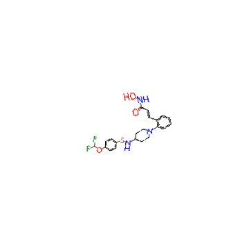 O=C(/C=C/c1ccccc1N1CCC(NSc2ccc(OC(F)F)cc2)CC1)NO